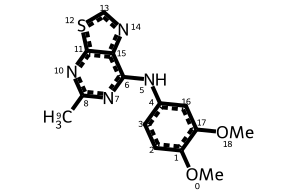 COc1ccc(Nc2nc(C)nc3scnc23)cc1OC